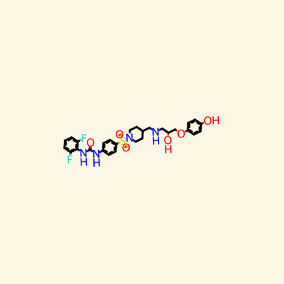 O=C(Nc1ccc(S(=O)(=O)N2CCC(CNC[C@H](O)COc3ccc(O)cc3)CC2)cc1)Nc1c(F)cccc1F